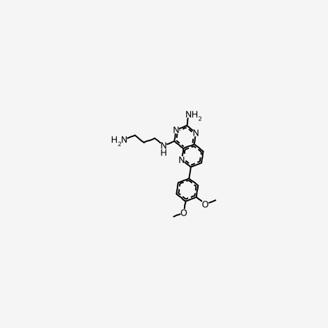 COc1ccc(-c2ccc3nc(N)nc(NCCCN)c3n2)cc1OC